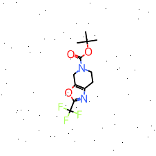 CC(C)(C)OC(=O)N1CCc2nc(C(F)(F)F)oc2C1